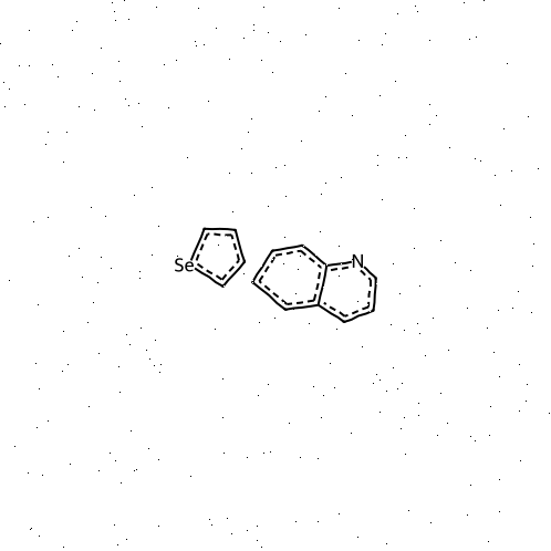 c1cc[se]c1.c1ccc2ncccc2c1